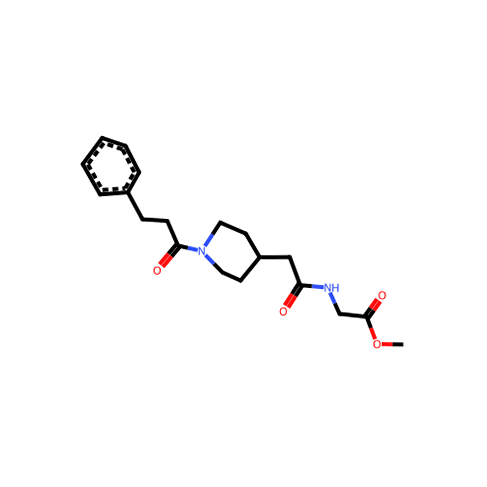 COC(=O)CNC(=O)CC1CCN(C(=O)CCc2ccccc2)CC1